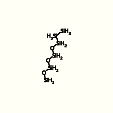 [SiH3]O[SiH2]O[SiH2]O[SiH2][SiH2][SiH3]